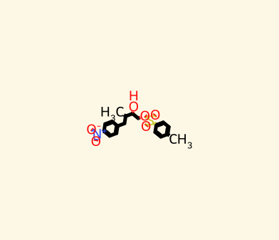 Cc1ccc(S(=O)(=O)OCC(O)C(C)Cc2ccc([N+](=O)[O-])cc2)cc1